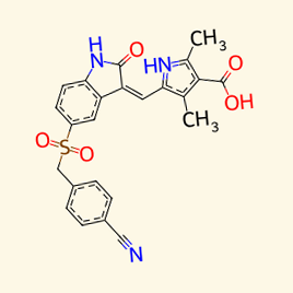 Cc1[nH]c(/C=C2\C(=O)Nc3ccc(S(=O)(=O)Cc4ccc(C#N)cc4)cc32)c(C)c1C(=O)O